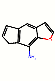 Nc1c2c(cc3ccoc13)C=CC2